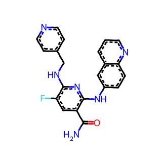 NC(=O)c1cc(F)c(NCc2ccncc2)nc1Nc1ccc2ncccc2c1